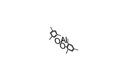 Cc1cc(C)c(O[CH]([Al])Oc2c(C)cc(C)cc2C)c(C)c1